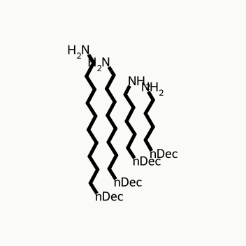 CCCCCCCCCCCCCCCCCCCCN.CCCCCCCCCCCCCCCCCCN.CCCCCCCCCCCCCCCN.CCCCCCCCCCCCCCN